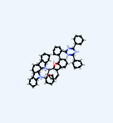 C1=Cc2c(oc3c(-c4ccccc4-c4nc(-c5ccccc5)nc(-c5ccccc5)n4)cccc23)C(n2c3ccccc3c3ccc4c5ccccc5n(-c5ccccc5)c4c32)CC1